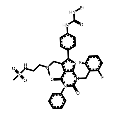 CCNC(=O)Nc1ccc(-c2sc3c(c2CN(C)CCNS(C)(=O)=O)c(=O)n(-c2ccccc2)c(=O)n3Cc2c(F)cccc2F)cc1